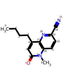 CCCCc1cc(=O)n(C)c2ccc(C#N)nc12